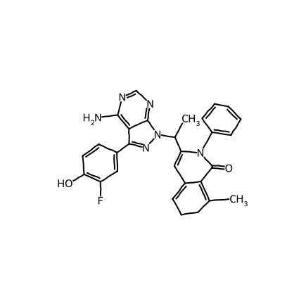 CC1=c2c(cc(C(C)n3nc(-c4ccc(O)c(F)c4)c4c(N)ncnc43)n(-c3ccccc3)c2=O)=CCC1